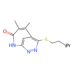 CC1=C(C)c2cc(nnc2SCCC(C)C)NC1=O